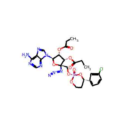 CCC(=O)O[C@H]1[C@H](n2cnc3c(N)ncnc32)O[C@@](CO[P@@]2(=O)OCC[C@@H](c3cccc(Cl)c3)O2)(N=[N+]=[N-])[C@H]1OC(=O)CC